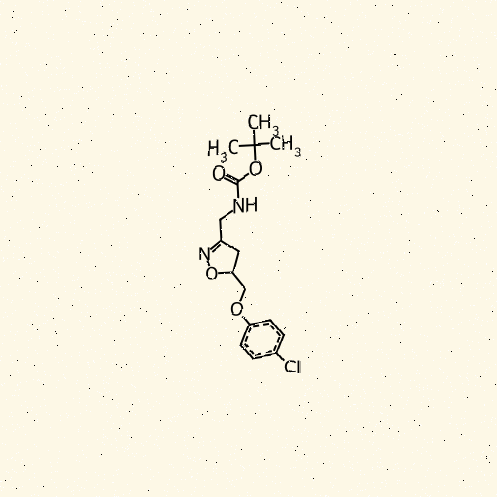 CC(C)(C)OC(=O)NCC1=NOC(COc2ccc(Cl)cc2)C1